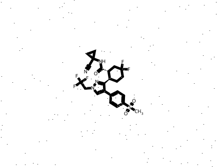 CS(=O)(=O)c1ccc(-c2cn(CC(F)(F)F)nc2[C@@H]2CCC(F)(F)C[C@H]2C(=O)NC2(C#N)CC2)cc1